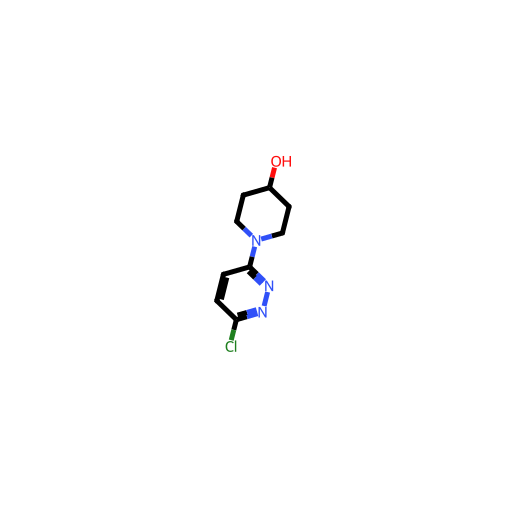 OC1CCN(c2ccc(Cl)nn2)CC1